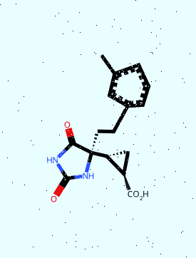 Cc1cccc(CC[C@]2([C@@H]3C[C@H]3C(=O)O)NC(=O)NC2=O)c1